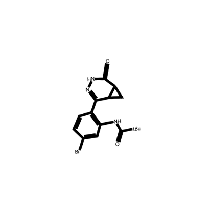 CC(C)(C)C(=O)Nc1cc(Br)ccc1C1=NNC(=O)C2CC12